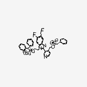 CC(C)(C)[Si](OCCn1c(-c2cnccc2COS(=O)(=O)Cc2ccccc2)nc2cc(F)c(F)cc21)(c1ccccc1)c1ccccc1